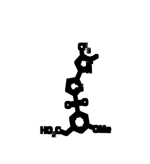 COc1cc(CC(=O)O)cc(S(=O)(=O)c2ccc(-c3cc(C(F)(F)F)n(C)n3)s2)c1